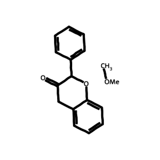 COC.O=C1Cc2ccccc2OC1c1ccccc1